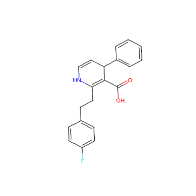 O=C(O)C1=C(CCc2ccc(F)cc2)NC=CC1c1ccccc1